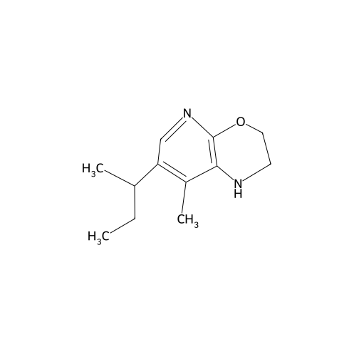 CCC(C)c1cnc2c(c1C)NCCO2